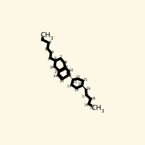 CCCCCCC1CCc2cc([C@H]3CC[C@H](CCCCC)CC3)ccc2C1